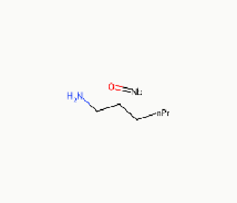 CCCCCCN.[O]=[Nb]